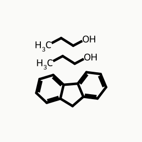 CCCO.CCCO.c1ccc2c(c1)Cc1ccccc1-2